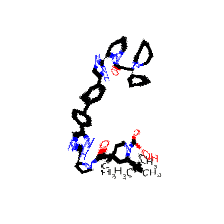 CC1(C(=O)N2CCC[C@H]2c2ncc(-c3ccc(-c4ccc(-c5cnc([C@@H]6CCCN6C(=O)[C@@H](c6ccccc6)N6CCCCC6)[nH]5)cc4)cc3)[nH]2)CCN(C(=O)O)C(C(C)(C)C)C1